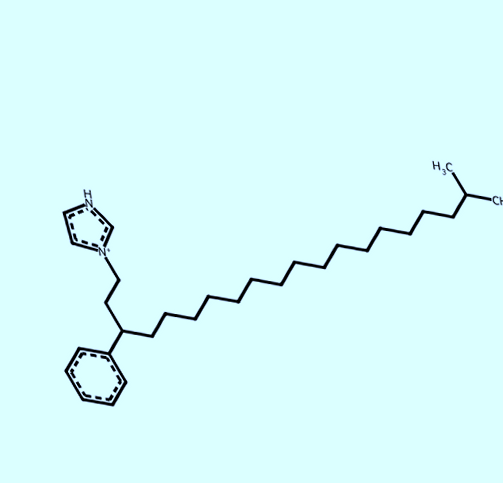 CC(C)CCCCCCCCCCCCCCCC(CC[n+]1cc[nH]c1)c1ccccc1